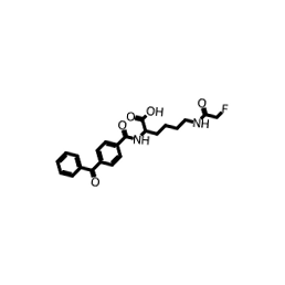 O=C(CF)NCCCCC(NC(=O)c1ccc(C(=O)c2ccccc2)cc1)C(=O)O